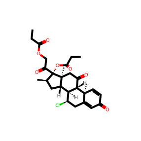 CCC(=O)OCC(=O)[C@]1(OC(=O)CC)[C@H](C)C[C@H]2[C@@H]3[C@H](Cl)CC4=CC(=O)C=C[C@]4(C)[C@H]3C(=O)C[C@@]21C